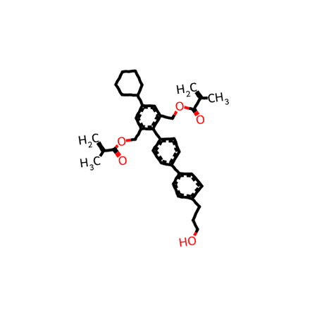 C=C(C)C(=O)OCc1cc(C2CCCCC2)cc(COC(=O)C(=C)C)c1-c1ccc(-c2ccc(CCCO)cc2)cc1